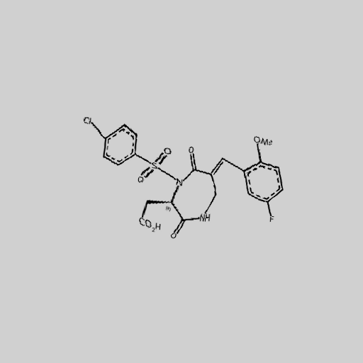 COc1ccc(F)cc1C=C1CNC(=O)[C@@H](CC(=O)O)N(S(=O)(=O)c2ccc(Cl)cc2)C1=O